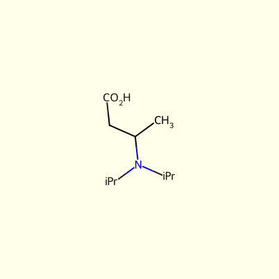 CC(C)N(C(C)C)C(C)CC(=O)O